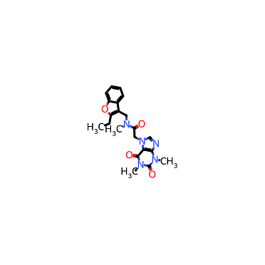 CCc1oc2ccccc2c1CN(C)C(=O)Cn1cnc2c1c(=O)n(C)c(=O)n2C